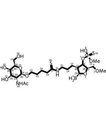 B[C@@H]1O[C@H](COC)C(OP(O)(=S)OC)[C@@H]1CCCNC(=S)CCCCO[C@@H]1O[C@H](CO)[C@H](O)[C@H](O)[C@H]1NC(C)=O